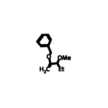 C=C(OCc1ccccc1)C(CC)OC